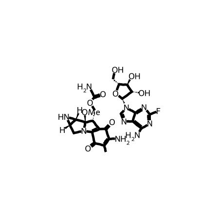 CO[C@@]12[C@H](COC(N)=O)C3=C(C(=O)C(C)=C(N)C3=O)N1C[C@@H]1N[C@@H]12.Nc1nc(F)nc2c1ncn2[C@@H]1O[C@H](CO)[C@@H](O)[C@@H]1O